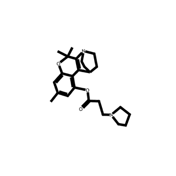 Cc1cc(OC(=O)CCN2CCCC2)c2c(c1)OC(C)(C)C1=C2C2CCN1CC2